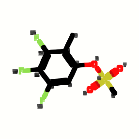 Cc1c(OS(C)(=O)=O)cc(F)c(F)c1F